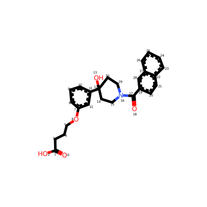 O=C(O)CCCOc1cccc(C2(O)CCN(C(=O)c3ccc4ccccc4c3)CC2)c1